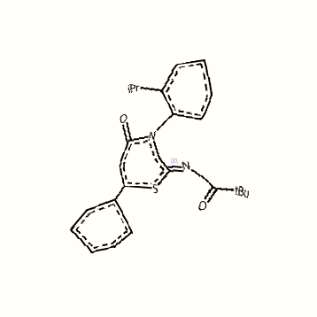 CC(C)c1ccccc1-n1c(=O)cc(-c2ccccc2)s/c1=N\C(=O)C(C)(C)C